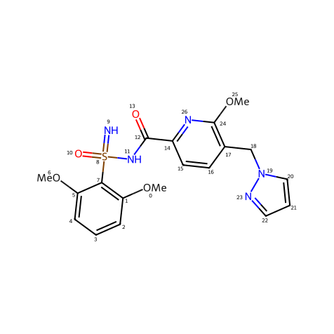 COc1cccc(OC)c1S(=N)(=O)NC(=O)c1ccc(Cn2cccn2)c(OC)n1